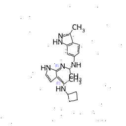 C/C(NC1CCC1)=C1/C=CN/C1=N/C(C)Nc1ccc2c(C)n[nH]c2c1